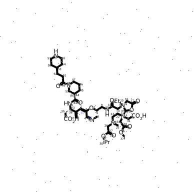 C=C(/C=C(\C=N/C)OCCNC(=O)C[N@@+]1(CC)CC(=O)O[C@H]1[N+](CCN(C)CC(=O)OC(C)C)(CC(=O)O)CC(=O)OI)[C@H](CC(=O)O)NC(=O)[C@@H]1CCCN(C(=O)CCC2CCNCC2)C1